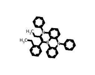 CCC1=C(c2ccccc2CC)B2c3ccccc3N(c3ccccc3)c3cccc(c32)N1c1ccccc1